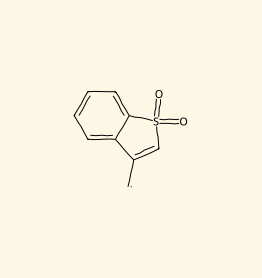 [CH2]C1=CS(=O)(=O)c2ccccc21